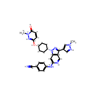 Cn1cc(-c2nn([C@H]3CC[C@@H](Oc4ccc(=O)n(C)n4)CC3)c3cc(Nc4ccc(C#N)cc4)ncc23)cn1